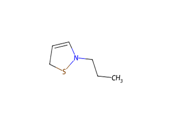 CCCN1C=CCS1